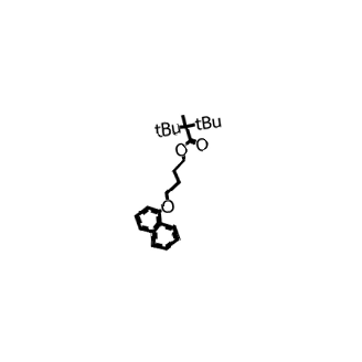 CC(C)(C)C(C)(C(=O)OCCCCOc1cccc2ccccc12)C(C)(C)C